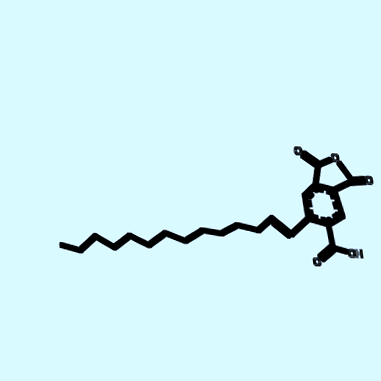 CCCCCCCCCCCCC=Cc1cc2c(cc1C(=O)O)C(=O)OC2=O